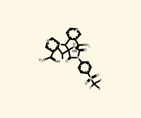 CC(c1ccncc1C(=N)N)C1(C(C)c2ccncc2C(=N)N)NC(=O)N(c2ccc(S(=O)(=O)C(F)(F)F)cc2)C1=O